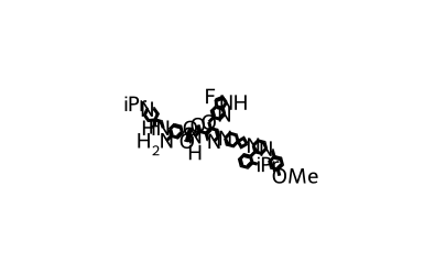 COc1ccc(CN2CCN(C3CC4(CCN(c5cc(Oc6cnc7[nH]cc(F)c7c6)c(C(=O)NS(=O)(=O)c6ccc(NCC7(F)CCN(C(C)C)CC7)c(N)c6)cn5)CC4)C3)C(c3ccccc3C(C)C)C2)cc1